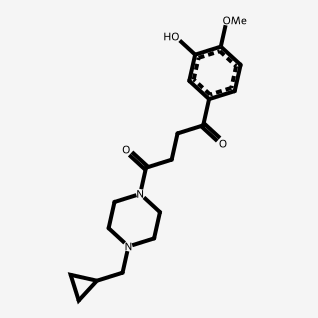 COc1ccc(C(=O)CCC(=O)N2CCN(CC3CC3)CC2)cc1O